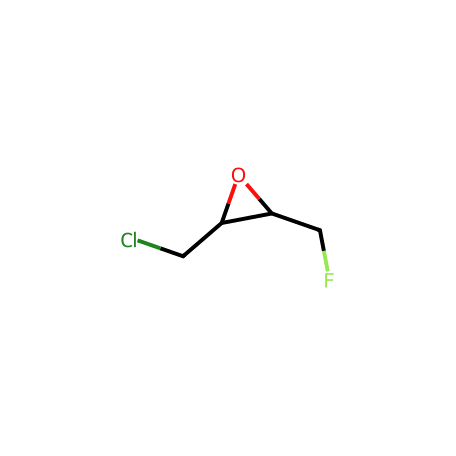 FCC1OC1CCl